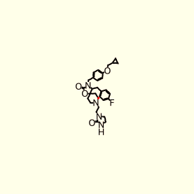 O=C1NCCN1CCN1CCC2(CC1)OC(=O)N(Cc1ccc(OCC3CC3)cc1)C2Cc1ccc(F)cc1